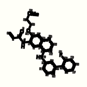 C=CC(=O)Nc1cc2c(Nc3ccnc(-c4ccccc4F)c3)ncnc2cc1OCCOC